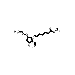 C=COOC1C[C@@H](C)[C@H](C=O)[C@H]1CCCCCCC(=O)OC